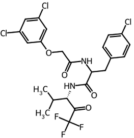 CC(C)[C@H](NC(=O)C(Cc1ccc(Cl)cc1)NC(=O)COc1cc(Cl)cc(Cl)c1)C(=O)C(F)(F)F